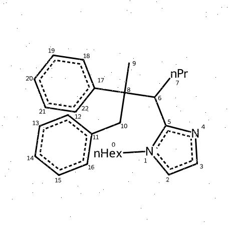 CCCCCCn1ccnc1C(CCC)C(C)(Cc1ccccc1)c1ccccc1